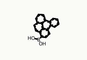 OB(O)c1ccc2c3ccccc3c3cccc4ccc1c2c43